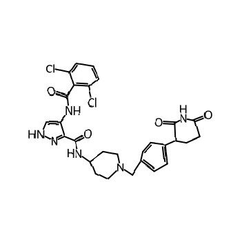 O=C1CCC(c2ccc(CN3CCC(NC(=O)c4n[nH]cc4NC(=O)c4c(Cl)cccc4Cl)CC3)cc2)C(=O)N1